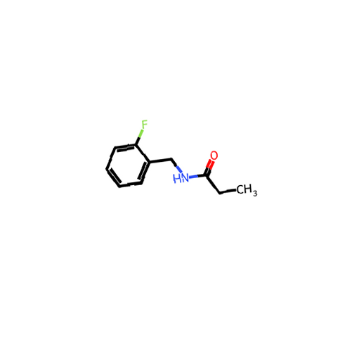 CCC(=O)NCc1ccccc1F